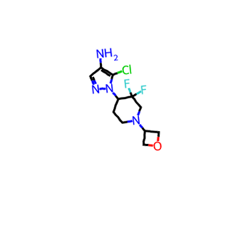 Nc1cnn(C2CCN(C3COC3)CC2(F)F)c1Cl